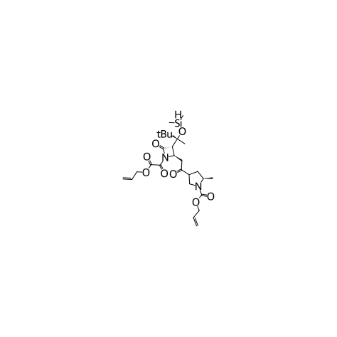 C=CCOC(=O)C(=O)N1C(=O)[C@H]([C@@](C)(O[SiH](C)C)C(C)(C)C)[C@H]1CC(=O)C1C[C@@H](C)N(C(=O)OCC=C)C1